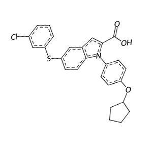 O=C(O)c1cc2cc(Sc3cccc(Cl)c3)ccc2n1-c1ccc(OC2CCCC2)cc1